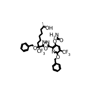 C[C@H](O)CCCCC[C@@](OCc1ccccc1)(c1nnc(-c2nc(OCc3ccccc3)c(C(F)(F)F)cc2OC(N)=O)o1)C(F)(F)F